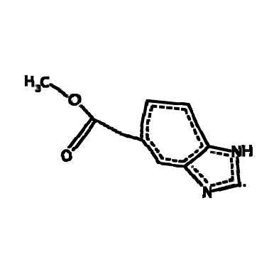 COC(=O)c1ccc2[nH][c]nc2c1